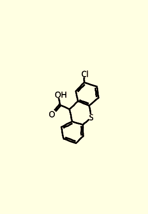 O=C(O)C1c2ccccc2Sc2ccc(Cl)cc21